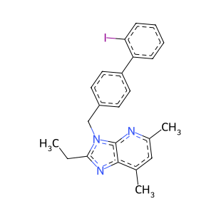 CCc1nc2c(C)cc(C)nc2n1Cc1ccc(-c2ccccc2I)cc1